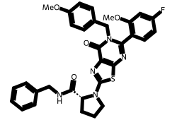 COc1ccc(Cn2c(-c3ccc(F)cc3OC)nc3sc(N4CCC[C@@H]4C(=O)NCc4ccccc4)nc3c2=O)cc1